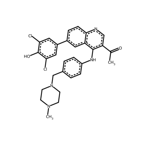 CC(=O)c1cnc2ccc(-c3cc(Cl)c(O)c(Cl)c3)cc2c1Nc1ccc(CN2CCN(C)CC2)cc1